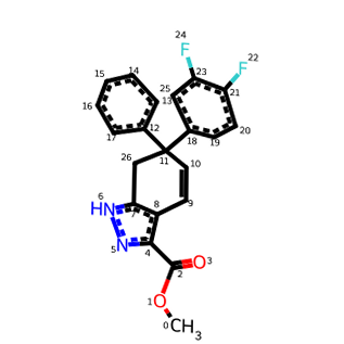 COC(=O)c1n[nH]c2c1C=CC(c1ccccc1)(c1ccc(F)c(F)c1)C2